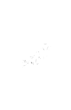 O=C(Nc1cnc(-n2cccn2)nc1O)C1CCc2ccccc21